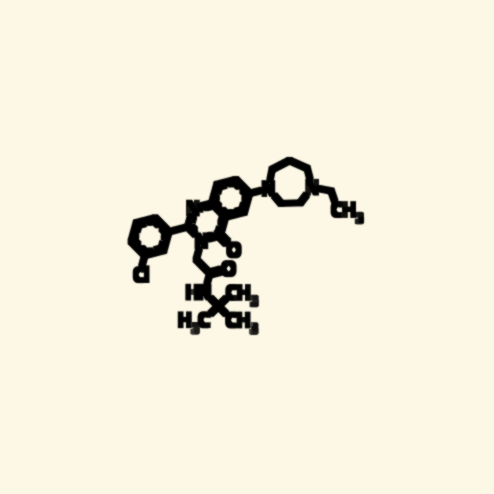 CCN1CCCN(c2ccc3nc(-c4cccc(Cl)c4)n(CC(=O)NC(C)(C)C)c(=O)c3c2)CC1